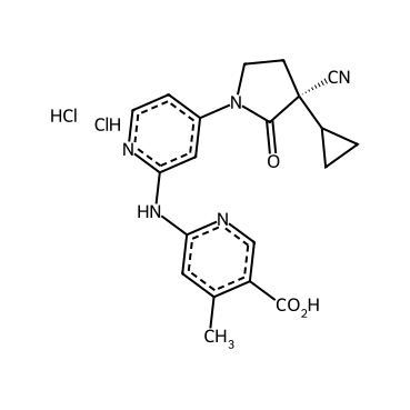 Cc1cc(Nc2cc(N3CC[C@@](C#N)(C4CC4)C3=O)ccn2)ncc1C(=O)O.Cl.Cl